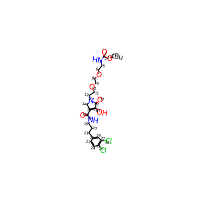 CC(C)(C)OC(=O)NCCOCCOCCN1CC(C(=O)NCCCc2ccc(Cl)c(Cl)c2)=C(O)C1=O